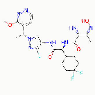 COc1nnccc1C(C)n1cc(NC(=O)[C@@H](NC(=O)C(=N)/C(C)=N\O)C2CCC(F)(F)CC2)c(F)n1